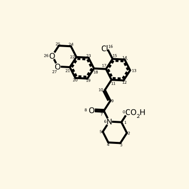 O=C(O)C1CCCCN1C(=O)/C=C/c1cc[c]c(Cl)c1-c1ccc2c(c1)CCOO2